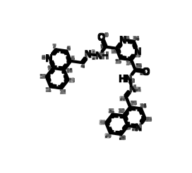 O=C(N/N=C/c1ccnc2ccccc12)c1cc(C(=O)N/N=C/c2ccnc3ccccc23)ncn1